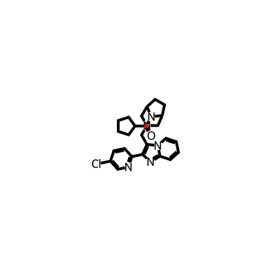 O=C(C1CCCC1)N1C2CCC1CN(Cc1c(-c3ccc(Cl)cn3)nc3ccccn13)C2